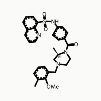 COc1c(C)cccc1CN1CCN(C(=O)c2ccc(NS(=O)(=O)c3cccc4cccnc34)cc2)[C@H](C)C1